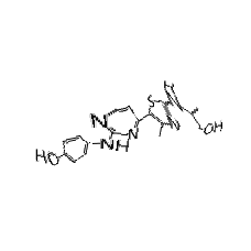 Cc1nc(NC(C)CO)sc1-c1ccnc(Nc2ccc(O)cc2)n1